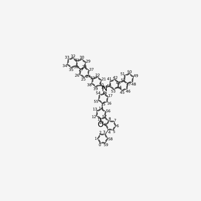 c1ccc(-c2cccc3c2oc2ccc(-c4ccc(N(c5ccc(-c6ccc7c(ccc8ccccc87)c6)cc5)c5ccc6c(ccc7ccccc76)c5)cc4)cc23)cc1